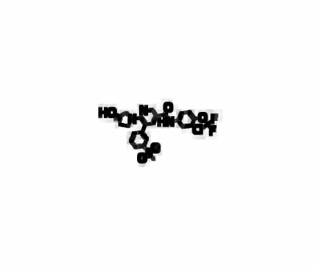 CS(=O)(=O)c1cccc(-c2cc(C(=O)Nc3ccc(OC(F)(F)Cl)cc3)cnc2N2CC[C@@H](O)C2)c1